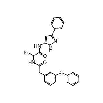 CCC(NC(=O)Cc1cccc(Oc2ccccc2)c1)C(=O)Nc1cc(-c2ccccc2)n[nH]1